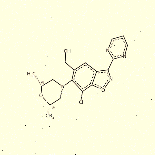 C[C@@H]1CN(c2c(CO)cc3c(-c4ncccn4)noc3c2Cl)C[C@H](C)O1